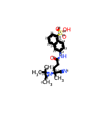 CC1N(C(C)(C#N)CCC(=O)Nc2ccc3c(S(=O)(=O)O)cccc3c2)C1(C)C